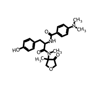 CN(C)c1ccc(C(=O)NC(Cc2ccc(O)cc2)C(=O)N(C)C2(C)COCC2=O)cc1